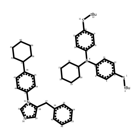 CC(C)(C)Sc1ccc(B(c2ccc(SC(C)(C)C)cc2)C2CCCCC2)cc1.c1ccc(Cc2cncn2-c2ccc(C3CCCCC3)cc2)cc1